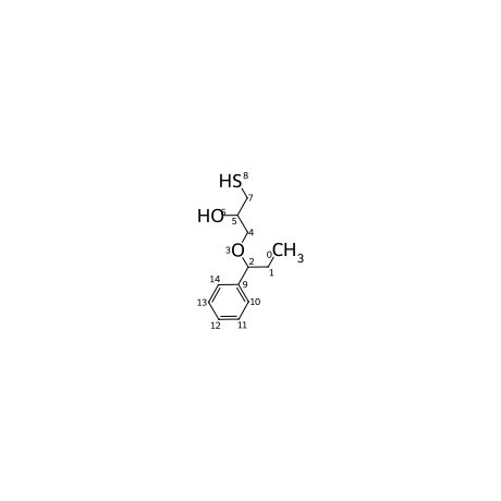 CCC(OCC(O)CS)c1ccccc1